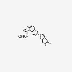 Cc1cc2ccc(-c3ccc4c(C(=O)OC=O)c(C)ccc4c3)cc2cc1C